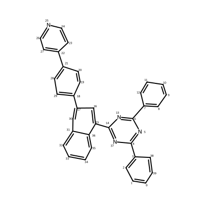 c1ccc(-c2nc(-c3ccccc3)nc(-c3cc(-c4ccc(-c5ccncc5)cc4)cc4ccccc34)n2)cc1